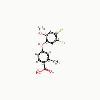 COc1cc(F)c(F)cc1Oc1ccc(C(=O)O)c(C)c1